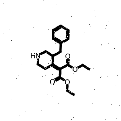 CCOC(=O)C(C(=O)OCC)=C1CCNCC1Cc1ccccc1